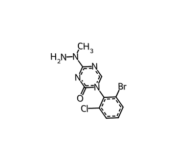 CN(N)c1ncn(-c2c(Cl)cccc2Br)c(=O)n1